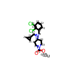 CC(C)(C)OC(=O)N1CCC(N(Cc2cccc(Cl)c2Cl)CC2CC2)CC1